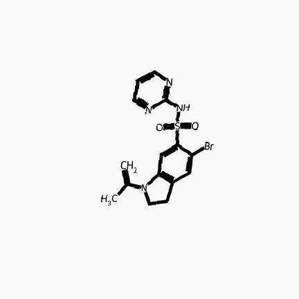 C=C(C)N1CCc2cc(Br)c(S(=O)(=O)Nc3ncccn3)cc21